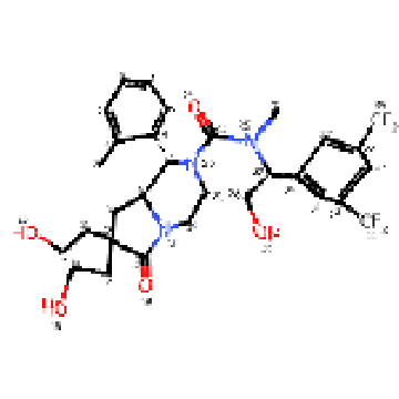 Cc1ccccc1[C@H]1C2CC(CCO)(CCO)C(=O)N2CCN1C(=O)N(C)[C@H](CO)c1cc(C(F)(F)F)cc(C(F)(F)F)c1